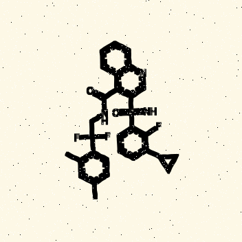 Cc1ccc(C(F)(F)CNC(=O)c2c(S(=N)(=O)c3cccc(C4CC4)c3F)cnc3ccccc23)c(C)c1